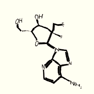 Nc1ccnc2c1ncn2C1O[C@H](CO)[C@@H](O)[C@]1(F)CF